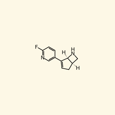 Fc1ccc(C2=CC[C@@H]3CN[C@H]23)cn1